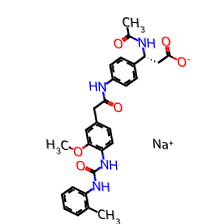 COc1cc(CC(=O)Nc2ccc([C@@H](CC(=O)[O-])NC(C)=O)cc2)ccc1NC(=O)Nc1ccccc1C.[Na+]